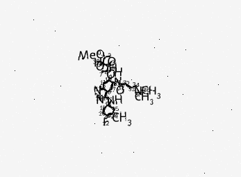 CO[C@@H]1CO[C@@H]2[C@H]1OC[C@@H]2Oc1cc2ncnc(Nc3ccc(F)c(C)c3)c2cc1NC(=O)/C=C/CN(C)C